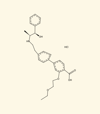 CCOCCOc1cc(-c2ccc(CCN[C@@H](C)[C@H](O)c3ccccc3)cc2)ccc1C(=O)O.Cl